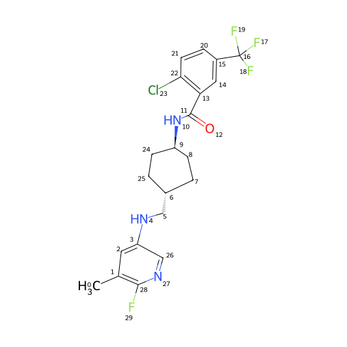 Cc1cc(NC[C@H]2CC[C@H](NC(=O)c3cc(C(F)(F)F)ccc3Cl)CC2)cnc1F